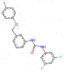 Cc1ccc(OCc2cccc(NC(=O)Nc3cc(F)cc(F)c3)c2)cc1